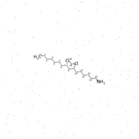 CCCCCCCCCCCCCCCCN.ClCCl